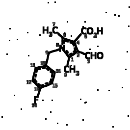 Cc1c(C=O)c(C(=O)O)c(C)n1Cc1ccc(F)cc1